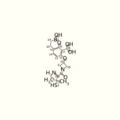 CC(C)(S)[C@@H](N)C(=O)N1CC(Oc2ccc3c(c2C(O)O)OB(O)CC3)C1